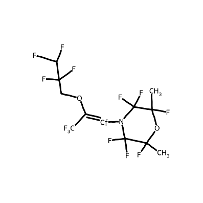 CC1(F)OC(C)(F)C(F)(F)[N](/[Cf]=[C](\OCC(F)(F)C(F)F)C(F)(F)F)C1(F)F